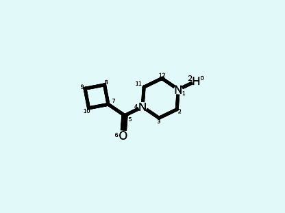 [2H]N1CCN(C(=O)C2CCC2)CC1